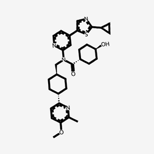 COc1ccc([C@H]2CC[C@H](CN(c3cc(-c4cnc(C5CC5)s4)ccn3)C(=O)[C@H]3CC[C@H](O)CC3)CC2)nc1C